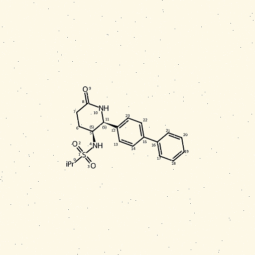 CC(C)S(=O)(=O)N[C@H]1CCC(=O)N[C@H]1c1ccc(-c2ccccc2)cc1